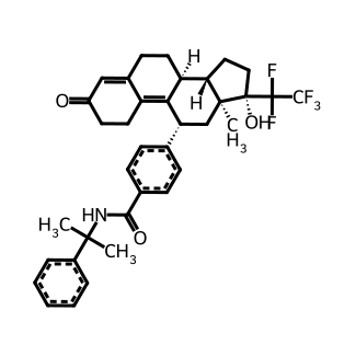 CC(C)(NC(=O)c1ccc([C@H]2C[C@@]3(C)[C@@H](CC[C@@]3(O)C(F)(F)C(F)(F)F)[C@@H]3CCC4=CC(=O)CCC4=C32)cc1)c1ccccc1